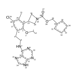 CCOc1c(CCNc2ncnc3[nH]cnc23)cc(Cl)c(C)c1C1CN(C(=O)OCc2ccccc2)C1